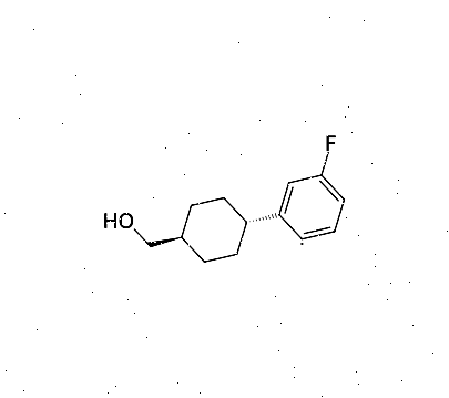 OC[C@H]1CC[C@H](c2[c]ccc(F)c2)CC1